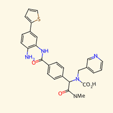 CNC(=O)C(c1ccc(C(=O)Nc2cc(-c3cccs3)ccc2N)cc1)N(Cc1cccnc1)C(=O)O